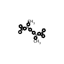 Cc1ccc(N(c2ccc(-c3ccc(N(c4ccc(C)cc4)c4ccc5c(c4)c4ccccc4n5-c4ccccc4)cc3)cc2)c2ccc3c(c2)c2ccccc2n3C2=CCCC=C2)cc1